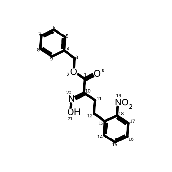 O=C(OCc1ccccc1)C(CCc1ccccc1[N+](=O)[O-])=NO